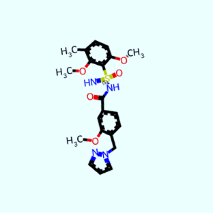 COc1cc(C(=O)N[S@@](=N)(=O)c2c(OC)ccc(C)c2OC)ccc1Cn1cccn1